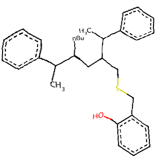 CCCCC(CC(CSCc1ccccc1O)C(C)c1ccccc1)C(C)c1ccccc1